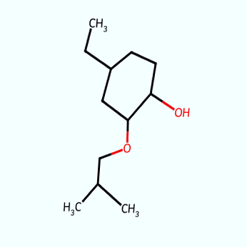 CCC1CCC(O)C(OCC(C)C)C1